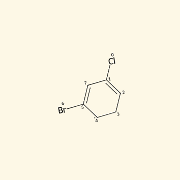 ClC1=CC[CH]C(Br)=C1